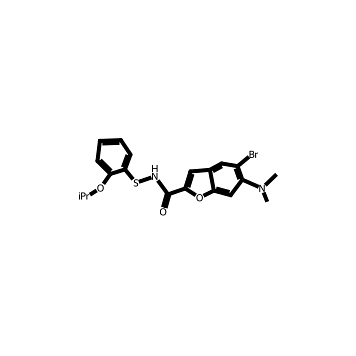 CC(C)Oc1ccccc1SNC(=O)c1cc2cc(Br)c(N(C)C)cc2o1